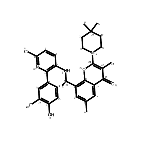 Cc1cc([C@@H](C)Nc2ccc(Cl)nc2-c2ccc(O)c(F)c2)c2oc(N3CCC(C)(C)CC3)c(C)c(=O)c2c1